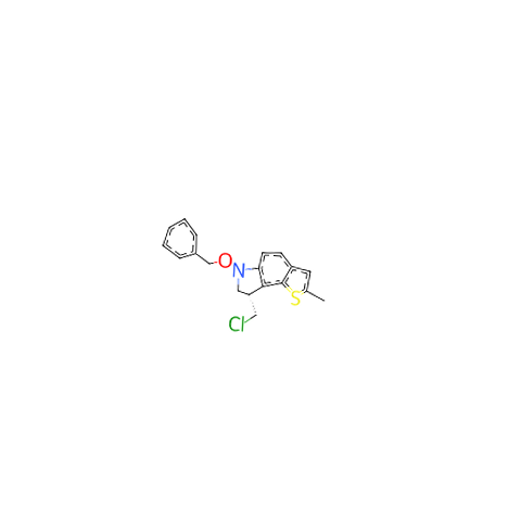 Cc1cc2ccc3c(c2s1)[C@H](CCl)CN3OCc1ccccc1